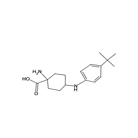 CC(C)(C)c1ccc(NC2CCC(N)(C(=O)O)CC2)cc1